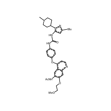 COCCOc1cc2nccc(Oc3ccc(NC(=O)Nc4cc(C(C)(C)C)nn4C4CCN(C)CC4)cc3)c2cc1NC(C)=O